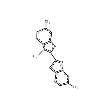 Cn1c(-c2cc3ccc(C(F)(F)F)cn3n2)nc2cc(C(F)(F)F)cnc21